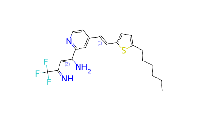 CCCCCCc1ccc(/C=C/c2ccnc(/C(N)=C/C(=N)C(F)(F)F)c2)s1